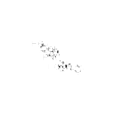 O=C(CCC(NC(=O)OCc1ccccc1)C(=O)O)NC(Cc1ccc(O)cc1)C(=O)O